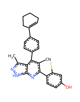 Cc1n[nH]c2nc(-c3ccc(O)cc3F)c(C#N)c(-c3ccc(C4=CCCCC4)cc3)c12